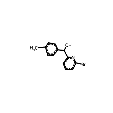 Cc1ccc(C(O)c2cccc(Br)n2)cc1